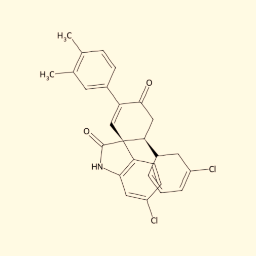 Cc1ccc(C2=C[C@@]3(C(=O)Nc4cc(Cl)ccc43)[C@H](C3C=CC=C(Cl)C3)CC2=O)cc1C